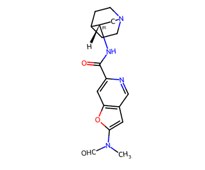 CN(C=O)c1cc2cnc(C(=O)N[C@H]3CN4CCC3CC4)cc2o1